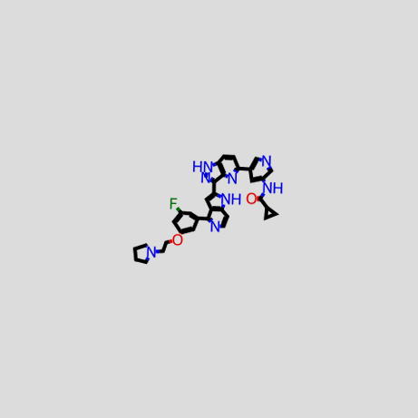 O=C(Nc1cncc(-c2ccc3[nH]nc(-c4cc5c(-c6cc(F)cc(OCCN7CCCC7)c6)nccc5[nH]4)c3n2)c1)C1CC1